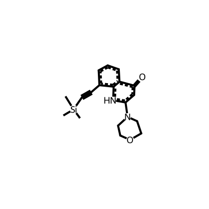 C[Si](C)(C)C#Cc1cccc2c(=O)cc(N3CCOCC3)[nH]c12